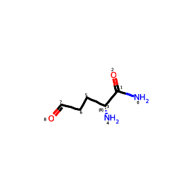 NC(=O)[C@H](N)CCC=O